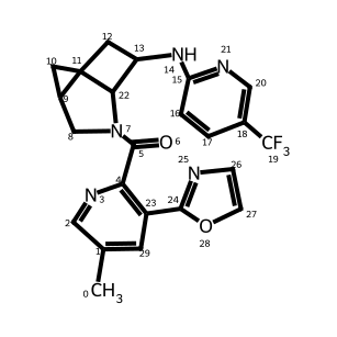 Cc1cnc(C(=O)N2CC3CC34CC(Nc3ccc(C(F)(F)F)cn3)C24)c(-c2ncco2)c1